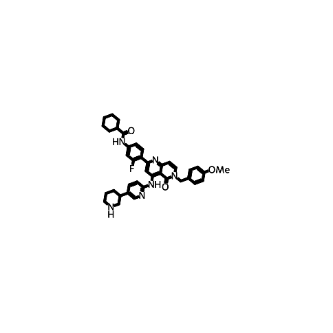 COc1ccc(Cn2ccc3nc(-c4ccc(NC(=O)C5CCCCC5)cc4F)cc(Nc4ccc(C5CCCNC5)cn4)c3c2=O)cc1